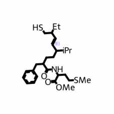 CCC(/C=C/C(CCC(Cc1ccccc1)C(=O)NC(CCSC)C(=O)OC)C(C)C)CS